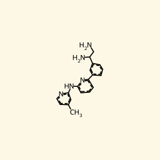 Cc1ccnc(Nc2cccc(-c3cccc(C(N)CN)c3)n2)c1